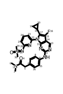 CN(C)C(=O)Cc1ccc(Nc2ncc3c(F)c(C4CC4)n(-c4cccc(N=S(C)(C)=O)n4)c3n2)cc1